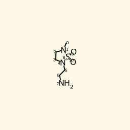 CN1CCN(CCN)S1(=O)=O